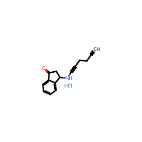 C#CCCC#CNC1CC(=O)c2ccccc21.Cl